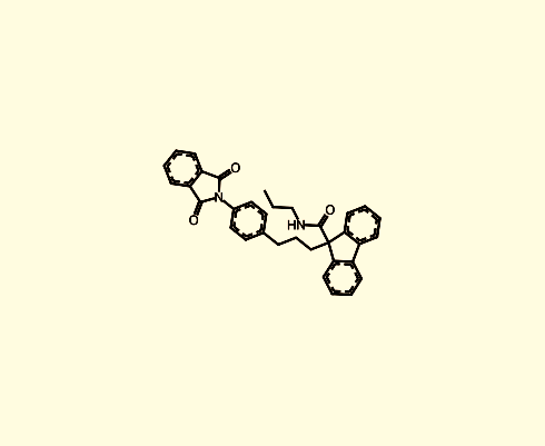 CCCNC(=O)C1(CCCc2ccc(N3C(=O)c4ccccc4C3=O)cc2)c2ccccc2-c2ccccc21